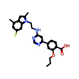 CCCOc1cc(-c2cc(NCCn3c(C)cc4c(C)cc(F)cc43)ncn2)ccc1C(=O)O